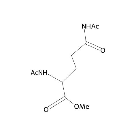 COC(=O)C(CCC(=O)NC(C)=O)NC(C)=O